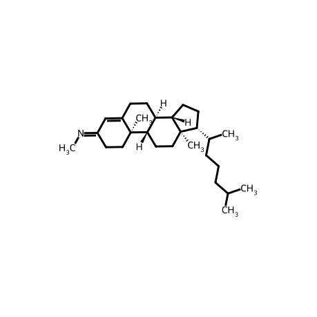 C/N=C1/C=C2CC[C@H]3[C@@H]4CC[C@H](C(C)CCCC(C)C)[C@@]4(C)CC[C@@H]3[C@@]2(C)CC1